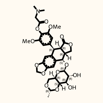 COc1cc([C@@H]2c3cc4c(cc3[C@@H](O[C@@H]3O[C@@H]5CO[C@@H](C)O[C@H]5[C@H](O)[C@H]3O)[C@H]3COC(=O)[C@H]23)OCO4)cc(OC)c1OC(=O)CN(C)C